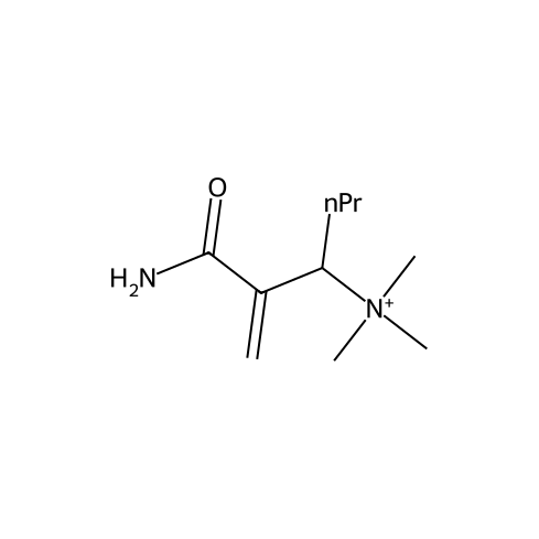 C=C(C(N)=O)C(CCC)[N+](C)(C)C